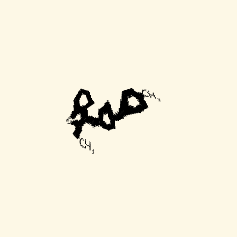 C/C=c1/sc2c(c1Cc1ccc(-c3ccc(C)cc3)cc1)CCCC=2